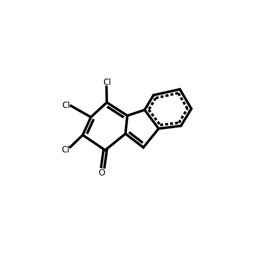 O=C1C2=Cc3ccccc3C2=C(Cl)C(Cl)=C1Cl